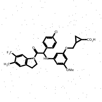 COc1cc(NC(C(=O)N2CCc3cc(C)c(C(F)(F)F)cc32)c2ccc(Cl)cc2)cc(OCC2CC2C(=O)O)c1